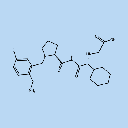 NCc1ccc(Cl)cc1CN1CCC[C@H]1C(=O)NC(=O)[C@H](NCC(=O)O)C1CCCCC1